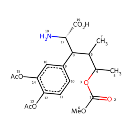 COC(=O)OC(C)C(C)C(c1ccc(OC(C)=O)c(OC(C)=O)c1)[C@H](N)C(=O)O